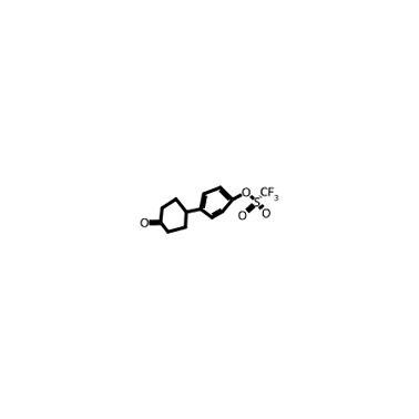 O=C1CCC(c2ccc(OS(=O)(=O)C(F)(F)F)cc2)CC1